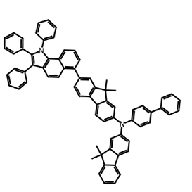 CC1(C)c2ccccc2-c2ccc(N(c3ccc(-c4ccccc4)cc3)c3ccc4c(c3)C(C)(C)c3cc(-c5cccc6c5ccc5c(-c7ccccc7)c(-c7ccccc7)n(-c7ccccc7)c56)ccc3-4)cc21